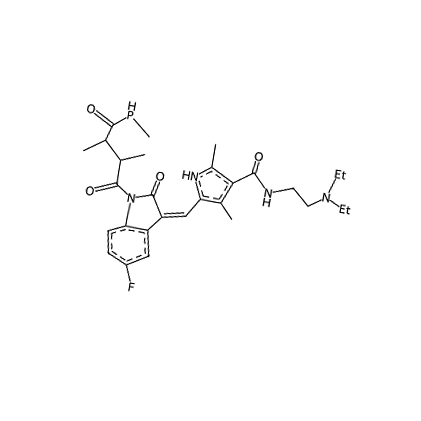 CCN(CC)CCNC(=O)c1c(C)[nH]c(/C=C2\C(=O)N(C(=O)C(C)C(C)C(=O)PC)c3ccc(F)cc32)c1C